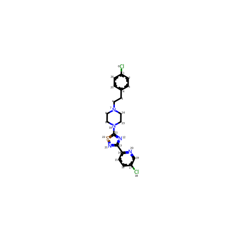 Clc1ccc(CCN2CCN(c3nc(-c4ccc(Cl)cn4)ns3)CC2)cc1